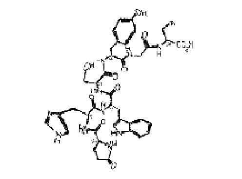 CC(C)C[C@H](NC(=O)CNC(=O)[C@H](Cc1ccc(O)cc1)NC(=O)[C@H](CO)NC(=O)[C@H](Cc1c[nH]c2ccccc12)NC(=O)[C@H](Cc1c[nH]cn1)NC(=O)[C@@H]1CCC(=O)N1)C(=O)O